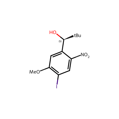 COc1cc([C@@H](O)C(C)(C)C)c([N+](=O)[O-])cc1I